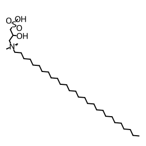 CCCCCCCCCCCCCCCCCCCCCCCCCCCC[N+](C)(C)CC(O)CS(=O)(=O)O